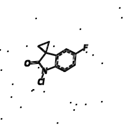 O=C1N(Cl)c2ccc(F)cc2C12CC2